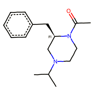 CC(=O)N1CCN(C(C)C)C[C@H]1Cc1ccccc1